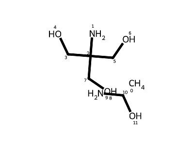 C.NC(CO)(CO)CO.NCO